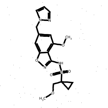 COCC1(S(=O)(=O)Nc2noc3cc(Cn4cccn4)cc(OC)c23)CC1